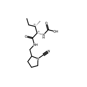 CC[C@H](C)[C@H](NC(=O)O)C(=O)NCC1CCCN1C#N